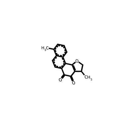 Cc1cccc2c3c(ccc12)C(=O)C(=O)C1=C3OCC1C